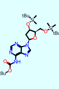 CC(C)(C)OC(=O)Nc1ncnc2c1ncn2[C@H]1C[C@@H](O[Si](C)(C)C(C)(C)C)[C@@H](CO[Si](C)(C)C(C)(C)C)O1